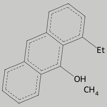 C.CCc1cccc2cc3ccccc3c(O)c12